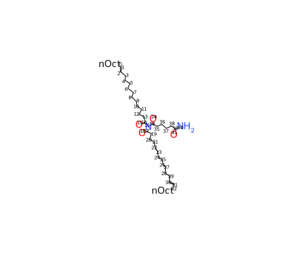 CCCCCCCCC=CCCCCCCCCCCCC(=O)N(C(=O)CCCCCCCCCCCC=CCCCCCCCC)C(=O)CCCCC(N)=O